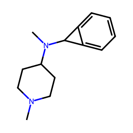 CN1CCC(N(C)C2c3ccccc32)CC1